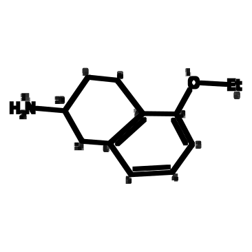 CCOc1cccc2c1CCC(N)C2